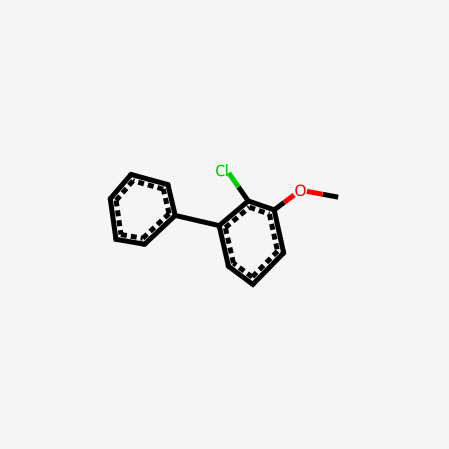 COc1cccc(-c2ccccc2)c1Cl